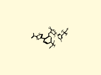 C=C(C)c1nc(-c2ccc(C(F)(F)F)cc2CN2C(=O)O[C@H](c3cc(F)cc(C(F)(F)F)c3)[C@@H]2C)cs1